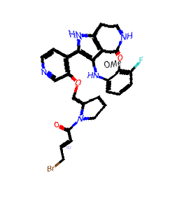 COc1c(F)cccc1Nc1c(-c2ccncc2OCC2CCCN2C(=O)/C=C/CBr)[nH]c2c1C(=O)NCC2